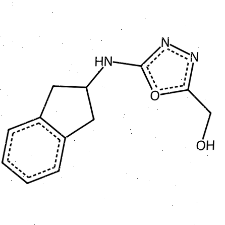 OCc1nnc(NC2Cc3ccccc3C2)o1